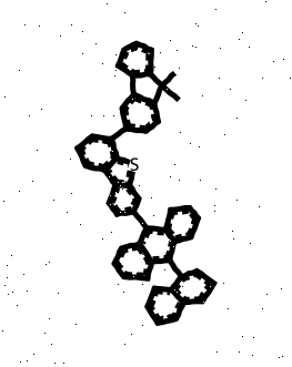 CC1(C)c2ccccc2-c2cc(-c3cccc4c3sc3cc(-c5c6ccccc6c(-c6cccc7ccccc67)c6ccccc56)ccc34)ccc21